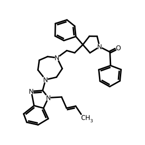 CC=CCn1c(N2CCCN(CCC3(c4ccccc4)CCN(C(=O)c4ccccc4)C3)CC2)nc2ccccc21